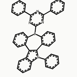 c1ccc(-c2nc(B3c4ccccc4-c4c(n(-c5ccccc5)c5ccccc45)-c4ccccc43)nc(-c3ccccc3)n2)cc1